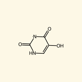 O=C1[N]C(=O)C(O)=CN1